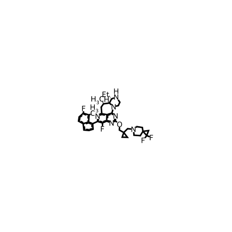 CC[C@@H]1NCCN2c3nc(OCC4(CN5CCC6(CC5)CC6(F)F)CC4)nc4c(F)c(-c5cccc6ccc(F)c(C)c56)nc(c34)C[C@H](C)[C@@H]12